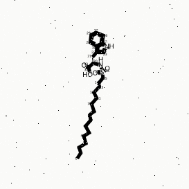 CCCCCCCCCCCCCCCCS(=O)(=O)N[C@@H](Cc1c[nH]c2ccccc12)C(=O)O